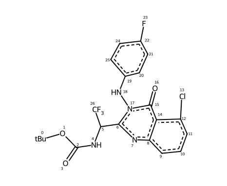 CC(C)(C)OC(=O)NC(c1nc2cccc(Cl)c2c(=O)n1Nc1ccc(F)cc1)C(F)(F)F